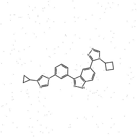 c1cc(-c2n[nH]c3ccc(-c4nncn4C4CCC4)cc23)cc(-n2cnc(C3CC3)c2)c1